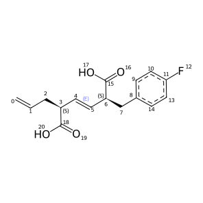 C=CC[C@@H](/C=C/[C@H](Cc1ccc(F)cc1)C(=O)O)C(=O)O